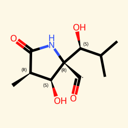 CC(C)[C@H](O)[C@@]1([C]=O)NC(=O)[C@H](C)[C@@H]1O